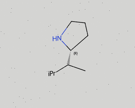 CC(C)C(C)[C@H]1CCCN1